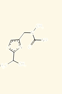 CC(C)c1nc(CN(C)C([NH])=O)cs1